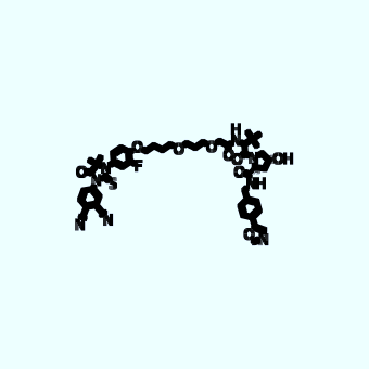 CC(C)(C)C(NC(=O)COCCCOCCCCOc1ccc(N2C(=S)N(c3ccc(C#N)c(C#N)c3)C(=O)C2(C)C)cc1F)C(=O)N1C[C@H](O)C[C@H]1C(=O)NCc1ccc(-c2cnco2)cc1